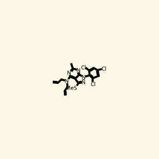 C=CCN(CC=C)c1nc(C)nc2c1c(SC)nn2-c1c(Cl)cc(Cl)cc1Cl